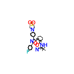 CC(C)(C)[C@@H](C#N)NC(=O)[C@@H]1CCCC[C@H]1c1oc(-c2ccc(F)cc2)nc1-c1ccc(N2CCS(=O)(=O)CC2)cc1